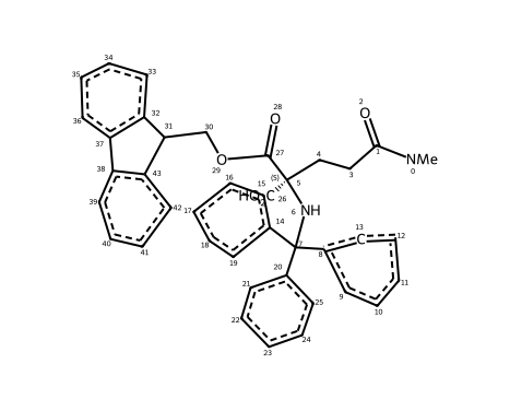 CNC(=O)CC[C@](NC(c1ccccc1)(c1ccccc1)c1ccccc1)(C(=O)O)C(=O)OCC1c2ccccc2-c2ccccc21